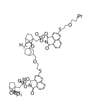 CC(C)CCOCCSc1cc2c3c(cccc3c1)C(=O)N(OS(=O)(=O)CC13CCC(CC1=O)C3(C)CC13CCC(C1)C(COCCSc1cc4c5c(cccc5c1)C(=O)N(OS(=O)(=O)CC15CCC(CC1=O)C5(C)C)C4O)C3)C2=O